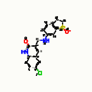 O=c1[nH]c2ccc(Cl)cc2cc1CNc1ccc2c(c1)[S@+]([O-])CC2